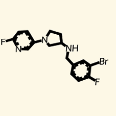 Fc1ccc(N2CCC(NCc3ccc(F)c(Br)c3)C2)cn1